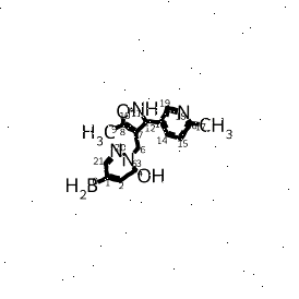 BC1=CC(O)N(CC2=C(C)ONC2c2ccc(C)nc2)N=C1